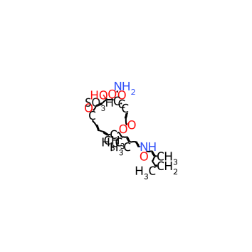 C=C(C)C/C(C)=C\C(=O)N/C=C/C(C)=C/C(C)C1C/C(C)=C/C=C/CCC(OS(=O)(=O)O)/C=C/[C@@H](O)C(OC(N)=O)CCC/C=C/C(=O)O1